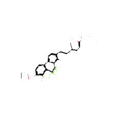 CCOc1ccc2c(c1F)C(F)(F)C(F)(F)c1c-2ccc(CCC2CC=C(C)OC2)c1F